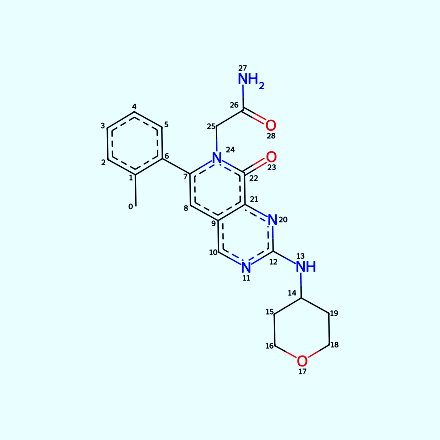 Cc1ccccc1-c1cc2cnc(NC3CCOCC3)nc2c(=O)n1CC(N)=O